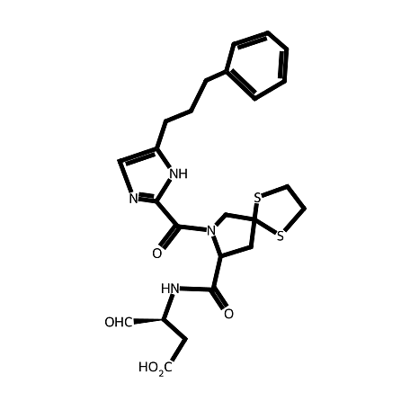 O=C[C@H](CC(=O)O)NC(=O)C1CC2(CN1C(=O)c1ncc(CCCc3ccccc3)[nH]1)SCCS2